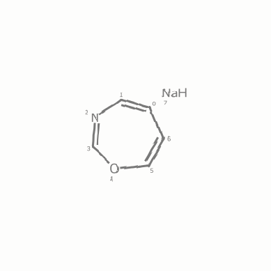 C1=CN=COC=C1.[NaH]